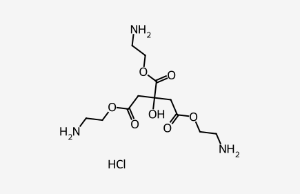 Cl.NCCOC(=O)CC(O)(CC(=O)OCCN)C(=O)OCCN